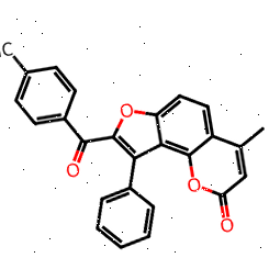 Cc1cc(=O)oc2c1ccc1oc(C(=O)c3ccc(C#N)cc3)c(-c3ccccc3)c12